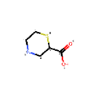 O=C(O)C1C[N]CCS1